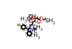 C=CCOC(=O)CC1CC(/C=C/c2c(-c3ccc(F)cc3)c3ccccc3n2C(C)C)OC(C)(C)O1